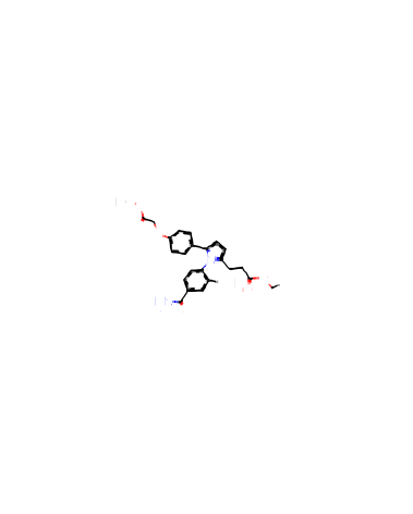 CCOC(=O)CCc1ccc(-c2ccc(OCC(=O)OC)cc2)n1-c1ccc(C(N)=O)cc1C